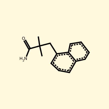 CC(C)(Cc1cccc2ccccc12)C(N)=O